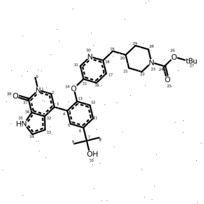 Cn1cc(-c2cc(C(C)(C)O)ccc2Oc2ccc(CC3CCN(C(=O)OC(C)(C)C)CC3)nc2)c2cc[nH]c2c1=O